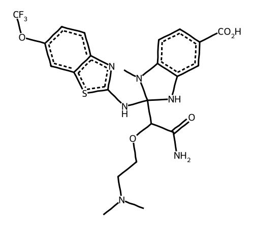 CN(C)CCOC(C(N)=O)C1(Nc2nc3ccc(OC(F)(F)F)cc3s2)Nc2cc(C(=O)O)ccc2N1C